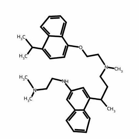 CC(C)c1ccc(OCCN(C)CCC(C)c2cc(NCCN(C)C)cc3ccccc23)c2ccccc12